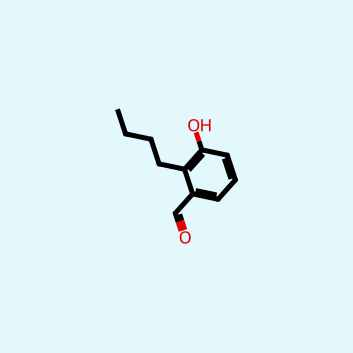 CCCCc1c(O)cccc1C=O